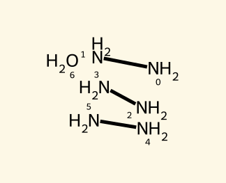 NN.NN.NN.O